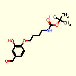 CC(C)(C)OC(=O)NCCCCOc1ccc(C=O)cc1O